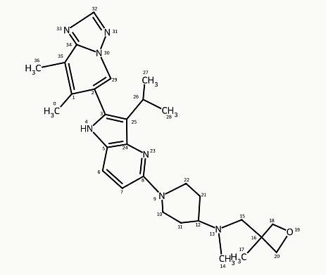 Cc1c(-c2[nH]c3ccc(N4CCC(N(C)CC5(C)COC5)CC4)nc3c2C(C)C)cn2ncnc2c1C